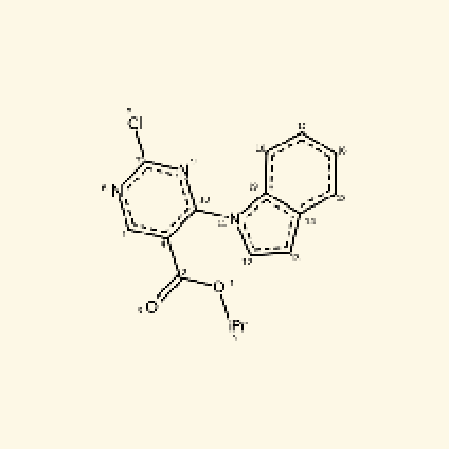 CC(C)OC(=O)c1cnc(Cl)nc1-n1ccc2ccccc21